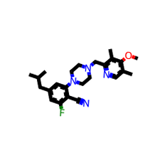 COc1c(C)cnc(CN2CCN(c3cc(CC(C)C)cc(F)c3C#N)CC2)c1C